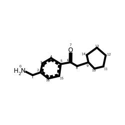 NCc1ccc(C(=O)CC2CCCCC2)cc1